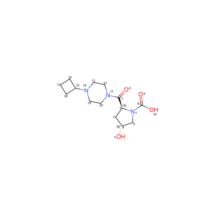 O=C([C@@H]1C[C@@H](O)CN1C(=O)O)N1CCN(C2CCC2)CC1